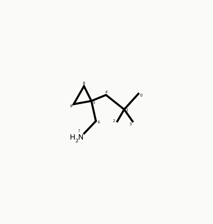 CC(C)(C)CC1(CN)CC1